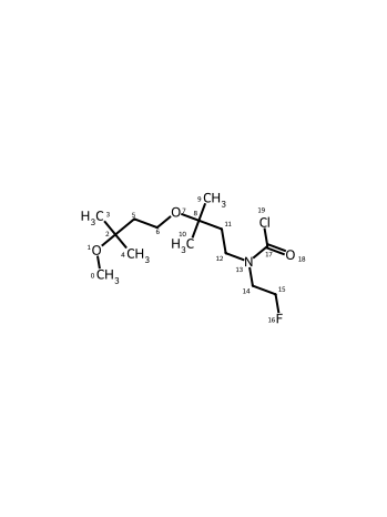 COC(C)(C)CCOC(C)(C)CCN(CCF)C(=O)Cl